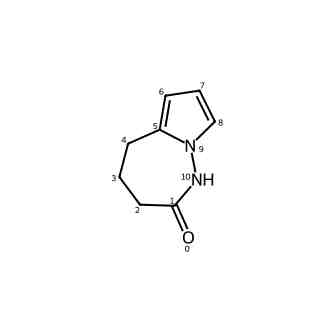 O=C1CCCc2cccn2N1